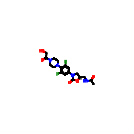 CC(=O)NC[C@H]1CN(c2cc(F)c(N3CCN(C(=O)CO)CC3)c(F)c2)C(=O)O1